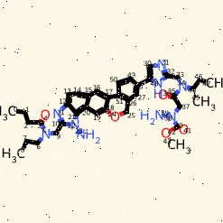 CCCC(=O)N(CCC)Cc1nc2ccc3cc4c(cc3c2n1N)OCc1cc(-c2cnc(CN(C(=O)CN(N)C(=O)OC)[C@@H](C)CC)[nH]2)ccc1-4